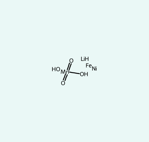 [Fe].[LiH].[Ni].[O]=[Mn](=[O])([OH])[OH]